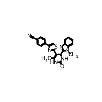 CC1=C(c2nc(-c3ccc(C#N)cc3)cs2)C(c2nc3ccccc3n2C)NC(=O)N1